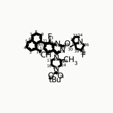 C#Cc1cccc2cccc(-c3ccc4c(N5CCN(C(=O)OC(C)(C)C)C[C@@H]5C)nc(OC[C@@]56CCCN5C[C@H](F)C6)nc4c3F)c12